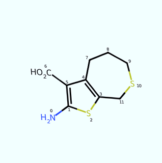 Nc1sc2c(c1C(=O)O)CCCSC2